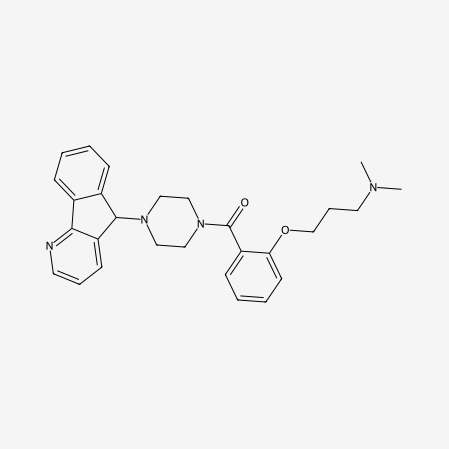 CN(C)CCCOc1ccccc1C(=O)N1CCN(C2c3ccccc3-c3ncccc32)CC1